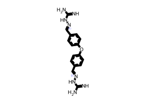 N=C(N)N/N=C/c1ccc(Oc2ccc(/C=N/NC(=N)N)cc2)cc1